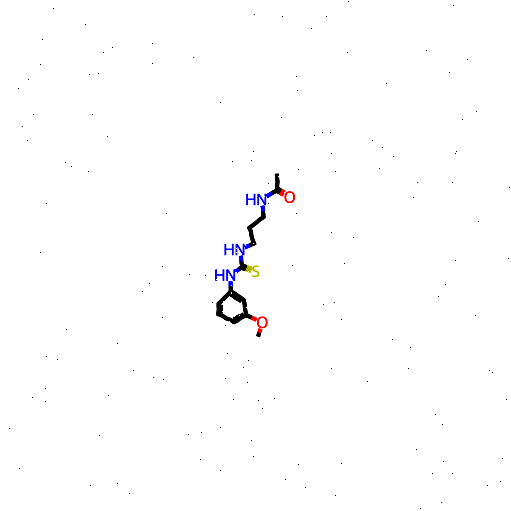 COc1cccc(NC(=S)NCCCNC(C)=O)c1